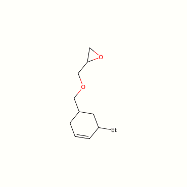 CCC1C=CCC(COCC2CO2)C1